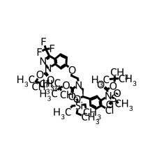 CC[Si](CC)(CC)O[C@@H](CN(CCOc1ccc2c(C(F)(F)F)nn(C(=O)OC(C)(C)C)c2c1)C(=O)OC(C)(C)C)c1ccc(Cl)c(N(C(=O)OC(C)(C)C)S(C)(=O)=O)c1